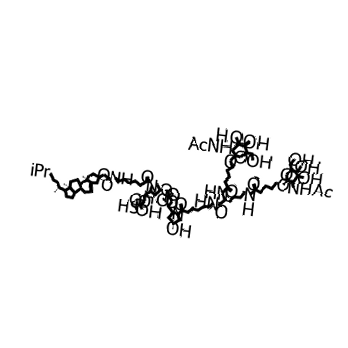 CC(=O)NC1C(OCCCCC(=O)NCCCC[C@H](NC(=O)CCCCOC2OC(CO)C(O)C(O)C2NC(C)=O)C(=O)NCCCCCC(=O)N2C[C@H](O)CC2COP(=O)(O)O[C@@H]2CC(COP(=O)(O)S)N(C(=O)CCCCCNC(=O)OC3CC[C@@]4(C)C(=CCC5C6CCC([C@H](C)CCCC(C)C)[C@@]6(C)CCC54)C3)C2)OC(CO)C(O)C1O